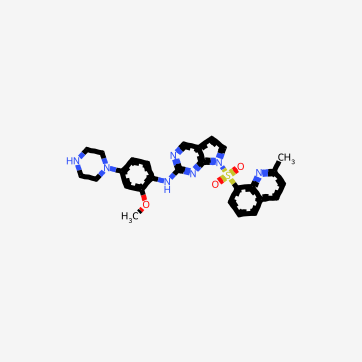 COc1cc(N2CCNCC2)ccc1Nc1ncc2ccn(S(=O)(=O)c3cccc4ccc(C)nc34)c2n1